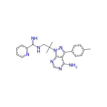 Cc1ccc(-c2nn(C(C)(C)CNC(=N)c3ccccn3)c3ncnc(N)c23)cc1